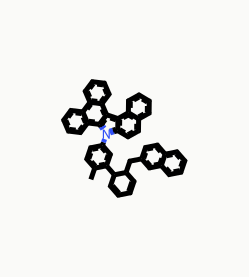 Cc1ccc(-n2c3ccc4ccccc4c3c3c4ccccc4c4ccccc4c32)cc1C1C=CC=CC1Cc1ccc2ccccc2c1